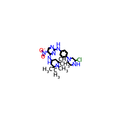 CN1C(C)(C)CC(Nc2nc(Nc3ccc(N4CCNC(Cl)C4)cc3)ncc2[N+](=O)[O-])CC1(C)C